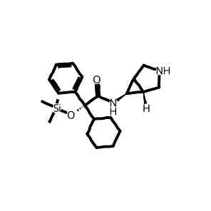 C[Si](C)(C)O[C@@](C(=O)N[C@H]1C2CNC[C@@H]21)(c1ccccc1)C1CCCCC1